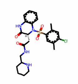 Cc1cc(S(=O)(=O)N2c3ccccc3NC(=O)[C@H]2CC(=O)NCC2CCCCN2)c(C)cc1Cl